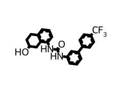 O=C(Nc1cccc(-c2ccc(C(F)(F)F)cc2)c1)Nc1cccc2c1CC(O)CC2